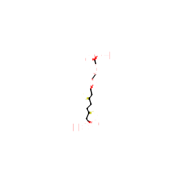 O=C(O)COCCOCCC(=S)CCC(=S)CC(=O)O